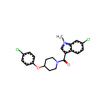 Cn1cc(C(=O)N2CCC(Oc3ccc(Cl)cc3)CC2)c2ccc(Cl)cc21